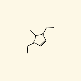 CCN1C=CN(CC)C1C